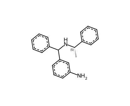 C[C@H](NC(c1ccccc1)c1cccc(N)c1)c1ccccc1